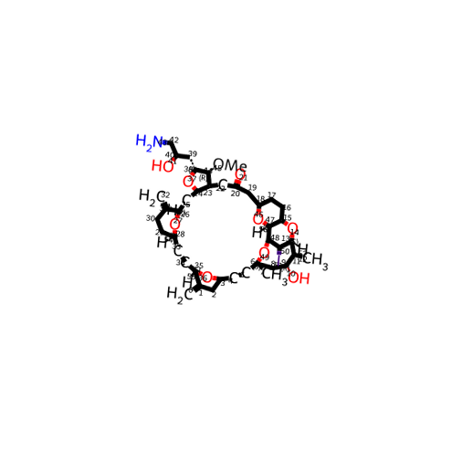 C=C1CC2CC[C@@]3(C)C[C@@H](O)C(C)[C@@H]4OC5CCC(CC(=O)CC6C(C[C@H]7O[C@H](CCC7=C)CC[C@@H]1O2)O[C@H](CC(O)CN)[C@@H]6OC)O[C@@H]5C(O3)C4I